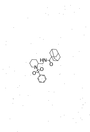 O=C(NCC1CCCCN1S(=O)(=O)c1ccccc1)C12CC3CC(CC(C3)C1)C2